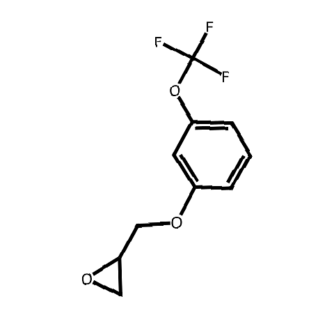 FC(F)(F)Oc1cccc(OCC2CO2)c1